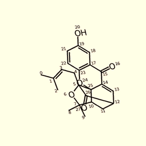 CC(C)=CCC12OC(C)(C)C3CC(C=C4C(=O)c5cc(O)ccc5OC431)C2=O